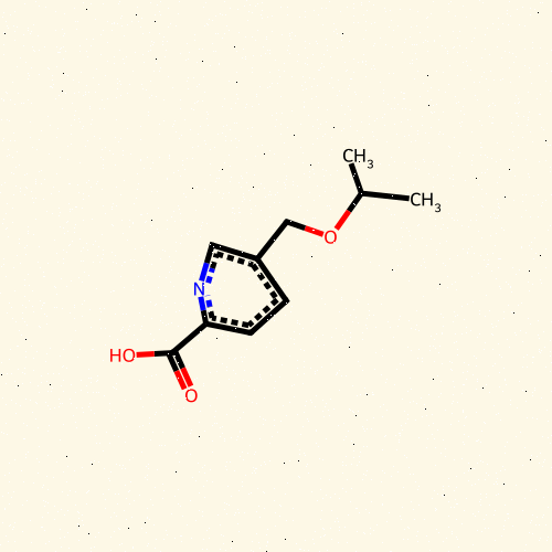 CC(C)OCc1ccc(C(=O)O)nc1